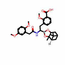 COc1ccc(OC)c(CC(=O)NC(Cc2cccc(C(=O)O)c2OC)B2OC3CC4C[C@H](C4(C)C)C3(C)O2)c1